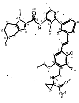 CCOc1cc(C=Cc2cccc(-c3cccc(NC(=O)c4nc5c(n4C)CCN(C)C5)c3Cl)c2C)c(Cl)c(F)c1CNC1(C(=O)O)CC1